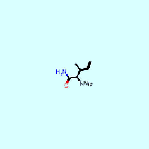 C=CC(C)C(NC)C(N)=O